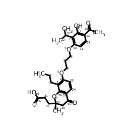 CCCc1c(OCCCOc2ccc(C(C)=O)c(O)c2C(C)C)ccc2c1OC(C)(CCC(=O)O)CC2=O